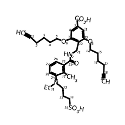 C#CCCCCOc1cc(C(=O)O)cc(OCCCCC#C)c1CNC(=O)c1cccc(N(CC)CCCS(=O)(=O)O)c1C